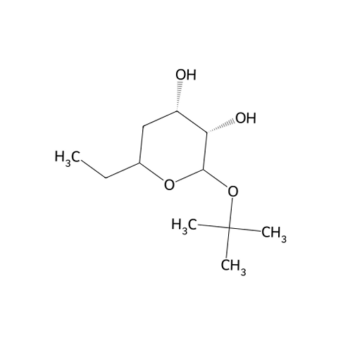 CCC1C[C@H](O)[C@H](O)C(OC(C)(C)C)O1